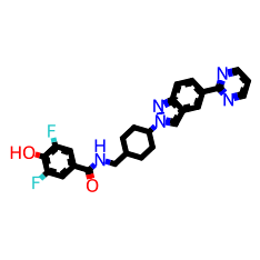 O=C(NCC1CCC(n2cc3cc(-c4ncccn4)ccc3n2)CC1)c1cc(F)c(O)c(F)c1